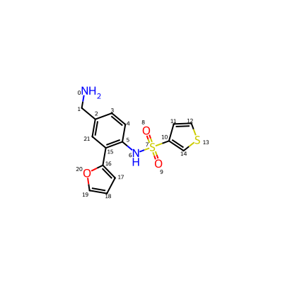 NCc1ccc(NS(=O)(=O)c2ccsc2)c(-c2ccco2)c1